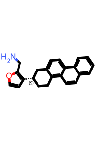 NCc1occc1[C@H]1CCc2c(ccc3c2ccc2ccccc23)C1